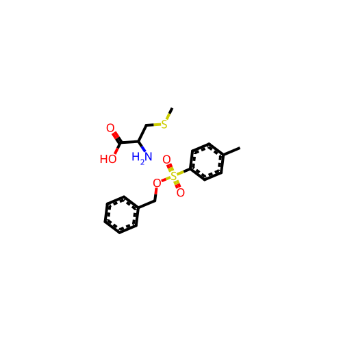 CSCC(N)C(=O)O.Cc1ccc(S(=O)(=O)OCc2ccccc2)cc1